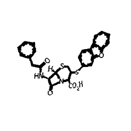 O=C(Cc1ccccc1)N[C@@H]1C(=O)N2C(C(=O)O)=C(Sc3ccc4c(c3)oc3ccccc34)CS[C@@H]12